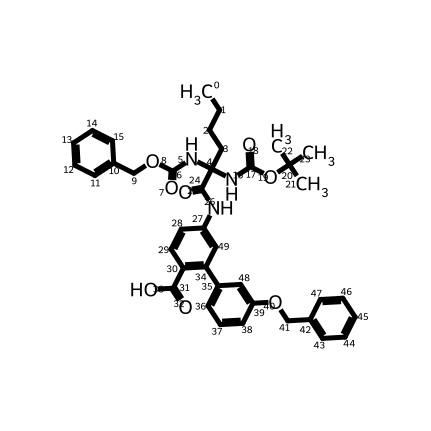 CCCCC(NC(=O)OCc1ccccc1)(NC(=O)OC(C)(C)C)C(=O)Nc1ccc(C(=O)O)c(-c2cccc(OCc3ccccc3)c2)c1